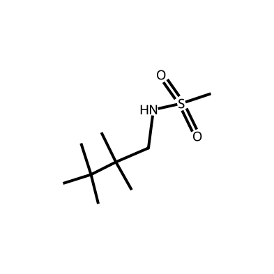 CC(C)(C)C(C)(C)CNS(C)(=O)=O